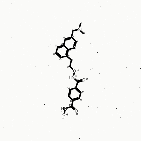 CN(C)Cc1ccc2c(CCONC(=O)c3ccc(C(=O)NO)cc3)cccc2c1